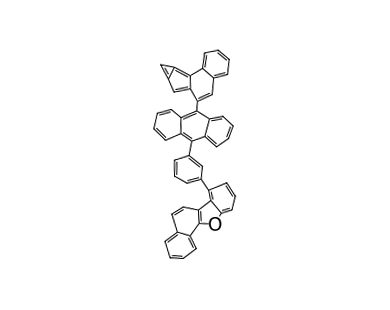 c1cc(-c2c3ccccc3c(-c3cc4ccccc4c4c5cc-5cc34)c3ccccc23)cc(-c2cccc3oc4c5ccccc5ccc4c23)c1